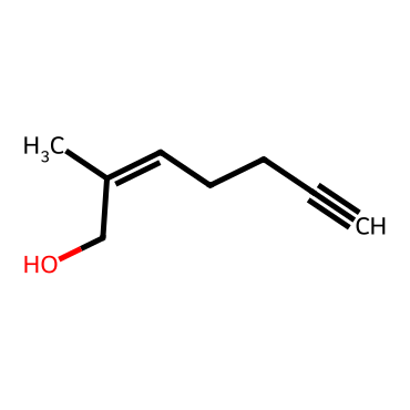 C#CCCC=C(C)CO